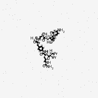 CC(C)N[C@H](C(=O)N[C@@H](CCCNC(N)=O)C(=O)Nc1ccc(COC(=O)N(C)CCN(C)C(=O)OC[C@H]2O[C@@H](n3ccc(N)nc3=O)C(F)(F)C2O)cc1)C(C)C